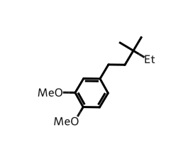 CCC(C)(C)CCc1ccc(OC)c(OC)c1